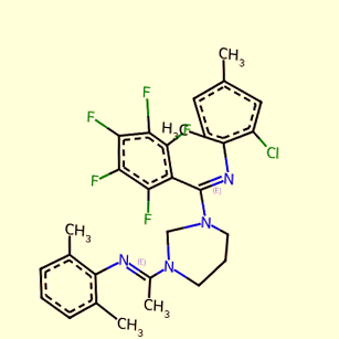 C/C(=N\c1c(C)cccc1C)N1CCCN(/C(=N/c2c(C)cc(C)cc2Cl)c2c(F)c(F)c(F)c(F)c2F)C1